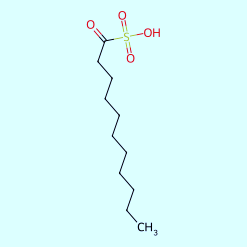 CCCCCCCCCCC(=O)S(=O)(=O)O